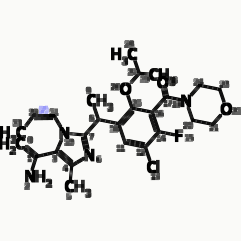 C=C(N)c1c(C)nc(C(C)c2cc(Cl)c(F)c(C(=O)N3CCOCC3)c2OC(C)C)n1/C=C\C